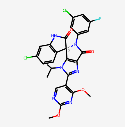 COc1ncc(-c2nc3c(n2C(C)C)[C@@]2(C(=O)Nc4cc(Cl)ccc42)N(c2cc(F)cc(Cl)c2)C3=O)c(OC)n1